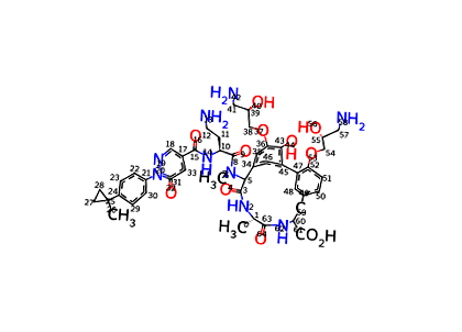 C[C@@H]1NC(=O)C(N(C)C(=O)[C@H](CCN)NC(=O)c2cnn(-c3ccc(C4(C)CC4)cc3)c(=O)c2)c2cc(OC[C@H](O)CN)c(O)c(c2)-c2cc(ccc2OC[C@H](O)CN)CC(C(=O)O)NC1=O